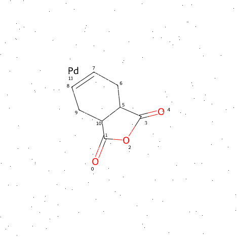 O=C1OC(=O)C2CC=CCC12.[Pd]